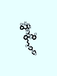 Nc1ncnc2c1c(-c1cccc(O)c1)nn2Cc1nc2cccc(CCCC(=O)N3CCC(N4CCOCC4)CC3)c2c(=O)n1Cc1ccccc1Cl